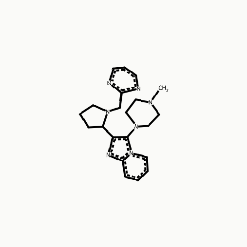 CN1CCN(c2c(C3CCCN3Cc3ncccn3)nc3ccccn23)CC1